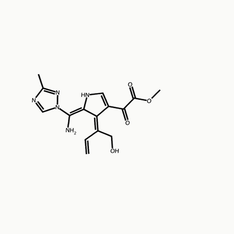 C=C/C(CO)=c1/c(C(=O)C(=O)OC)c[nH]/c1=C(/N)n1cnc(C)n1